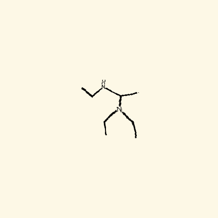 [CH2]C(NCC)N(CC)CC